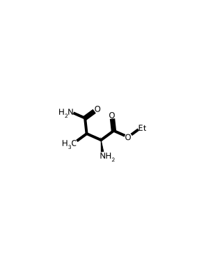 CCOC(=O)[C@@H](N)C(C)C(N)=O